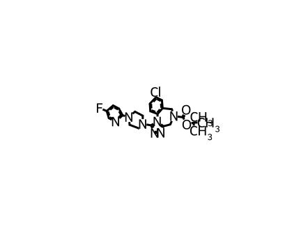 CC(C)(C)OC(=O)N1Cc2cc(Cl)ccc2-n2c(nnc2N2CCN(c3ccc(F)cn3)CC2)C1